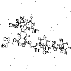 CCCCC(CC)COC(=O)c1ccccc1C(=O)OCC(CC)CCCC.CCOP(=S)(OCC)Oc1cc(C)nc(C(C)C)n1.CN1[C@@H]2CC[C@H]1C[C@@H](OC(=O)C(CO)c1ccccc1)C2